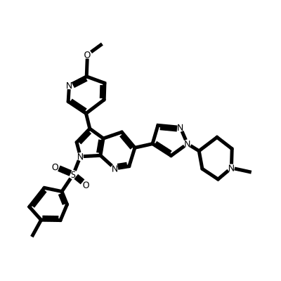 COc1ccc(-c2cn(S(=O)(=O)c3ccc(C)cc3)c3ncc(-c4cnn(C5CCN(C)CC5)c4)cc23)cn1